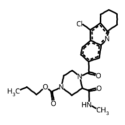 CCCOC(=O)N1CCN(C(=O)c2ccc3c(Cl)c4c(nc3c2)CCCC4)C(C(=O)NC)C1